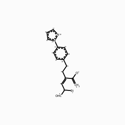 C=C(Cl)/C(=C\C(C=O)CC)CCc1ccc(-n2cccn2)cc1